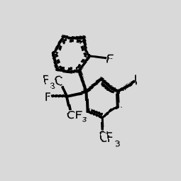 Fc1ccccc1C1(C(F)(C(F)(F)F)C(F)(F)F)C=C(I)[CH]C(C(F)(F)F)=C1